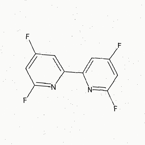 Fc1cc(F)nc(-c2cc(F)cc(F)n2)c1